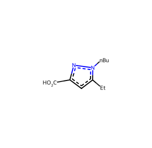 CCCCn1nc(C(=O)O)cc1CC